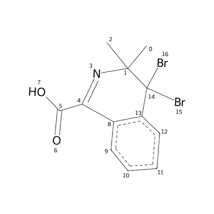 CC1(C)N=C(C(=O)O)c2ccccc2C1(Br)Br